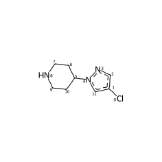 Clc1cnn(C2CCNCC2)c1